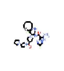 Nc1nn2cc(F)cnc2c1C(=O)NC1CNC2(CCCCCCCCC2)C(F)C1N1CCC(C(=O)N2CC[C@H](N3CCCC3)C2)CC1